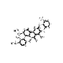 COc1ccc(Cn2c(=O)c3c(O)c(Sc4cccc(C(F)(F)F)c4)c(=O)oc3c3ccc(N(C)C)cc32)cc1